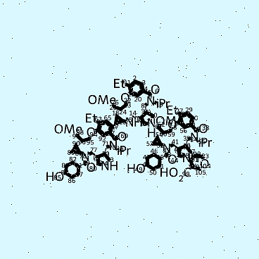 CCc1ccc(C(=O)N(C[C@@H]2CNC[C@@H]2CNC2CC2)C(C)C)cc1OCCCOC.CCc1ccc(C(=O)N(C[C@@H]2CNC[C@H]2CN(C(=O)[C@H]2CC[C@@H](O)CC2)C2CC2)C(C)C)cc1OCCCOC.CCc1ccc(C(=O)N(C[C@@H]2CNC[C@H]2CN(C(=O)[C@H]2CC[C@H](O)CC2)C2CC2)C(C)C)cc1OCCCOC.O=C(O)[C@H]1CCCOC1